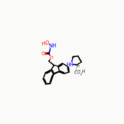 O=C(NO)OCC1c2ccccc2-c2ccccc21.O=C(O)[C@H]1CCCN1